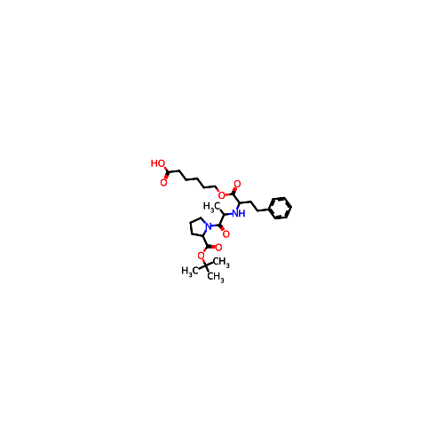 CC(NC(CCc1ccccc1)C(=O)OCCCCCC(=O)O)C(=O)N1CCCC1C(=O)OC(C)(C)C